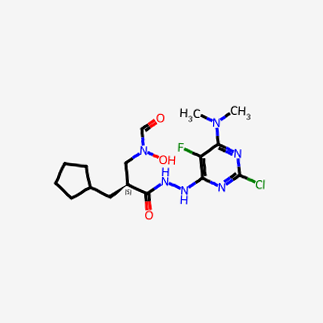 CN(C)c1nc(Cl)nc(NNC(=O)[C@@H](CC2CCCC2)CN(O)C=O)c1F